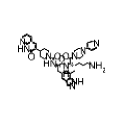 Cc1cc(C[C@@H](NC(=O)N2CCC(c3cc4cccnc4[nH]c3=O)CC2)C(=O)N[C@@H](CCCCN)C(=O)N2CCN(c3ccncc3)CC2)cc2cn[nH]c12